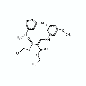 CCOC(=O)C(=CNc1cccc(OC)c1)C(=O)OCC.COc1cccc(N)c1